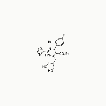 CCOC(=O)C1=C(CC(CO)CO)NC(c2nccs2)=NC1c1ccc(F)cc1Br